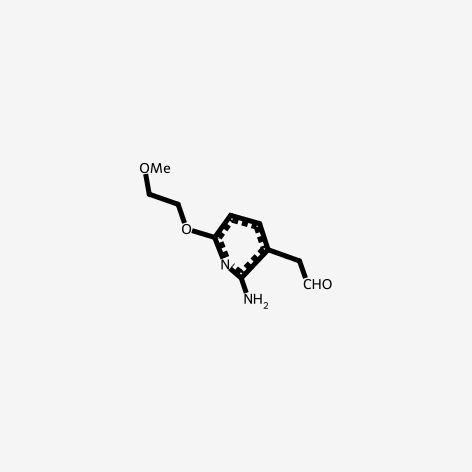 COCCOc1ccc(CC=O)c(N)n1